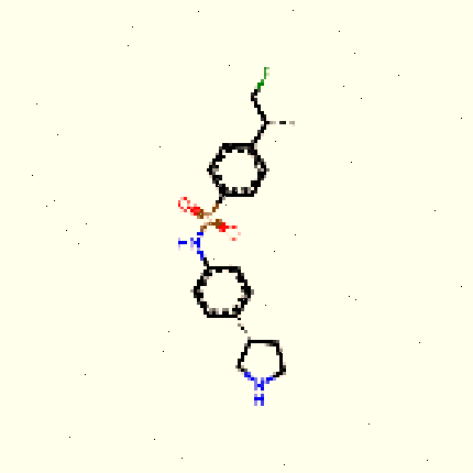 C[C@@H](CF)c1ccc(S(=O)(=O)Nc2ccc([C@@H]3CCNC3)cc2)cc1